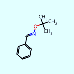 CC(C)(C)O/N=[C]/c1ccccc1